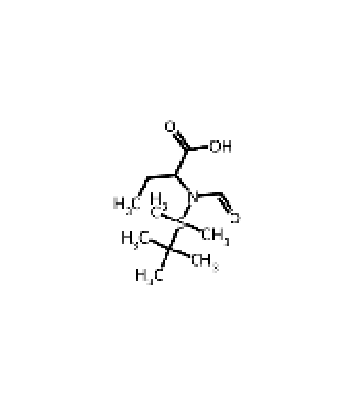 CCC(C(=O)O)N(C=O)S(C)(C)C(C)(C)C